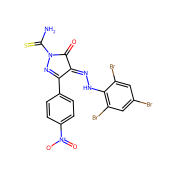 NC(=S)N1N=C(c2ccc([N+](=O)[O-])cc2)/C(=N\Nc2c(Br)cc(Br)cc2Br)C1=O